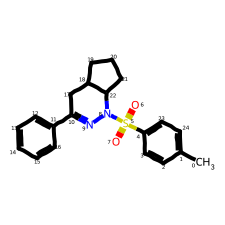 Cc1ccc(S(=O)(=O)N2N=C(c3ccccc3)CC3CCCC32)cc1